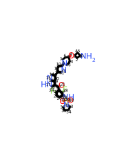 NC1CC(OC2CCN(c3ccc(-c4cnc5[nH]cc(C(=O)c6c(F)ccc(NS(=O)(=O)N7CCCC7)c6F)c5c4)cn3)CC2)C1